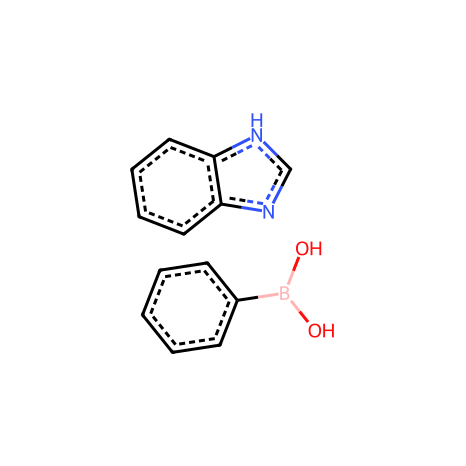 OB(O)c1ccccc1.c1ccc2[nH]cnc2c1